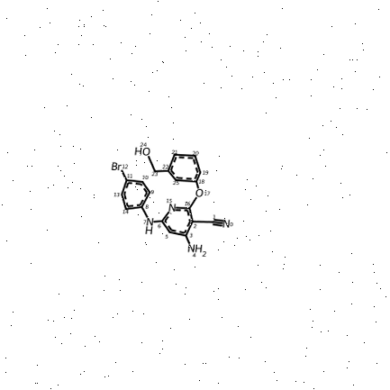 N#Cc1c(N)cc(Nc2ccc(Br)cc2)nc1Oc1cccc(CO)c1